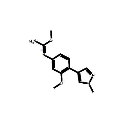 COc1cc(/N=C(/N)SC)ccc1-c1cnn(C)c1